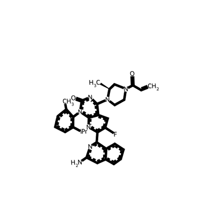 C=CC(=O)N1CCN(c2nc(=O)n(-c3c(C)cccc3C(C)C)c3nc(-c4nc(N)cc5ccccc45)c(F)cc23)[C@@H](C)C1